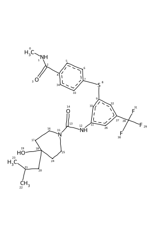 CNC(=O)c1ccc(Sc2cc(NC(=O)N3CCC(O)(CC(C)C)CC3)cc(C(F)(F)F)c2)cc1